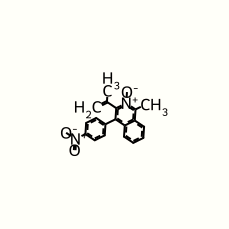 C=C(C)c1c(-c2ccc([N+](=O)[O-])cc2)c2ccccc2c(C)[n+]1[O-]